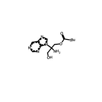 CC(C)(C)C(=O)OCC(N)(CO)n1cnc2cncnc21